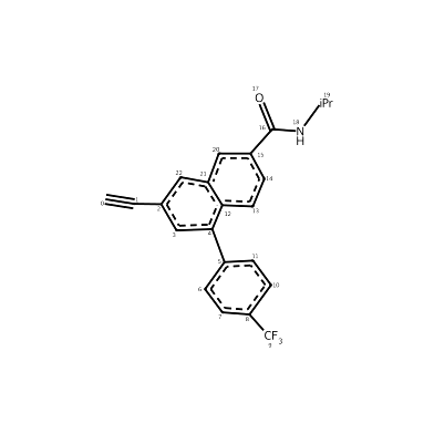 C#Cc1cc(-c2ccc(C(F)(F)F)cc2)c2ccc(C(=O)NC(C)C)cc2c1